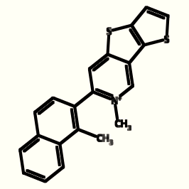 Cc1c(-c2cc3sc4ccsc4c3c[n+]2C)ccc2ccccc12